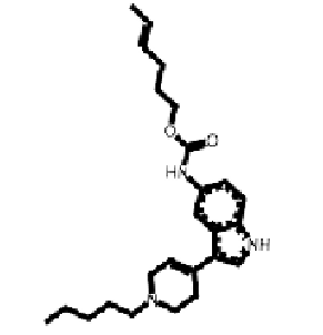 CC=CCCCOC(=O)Nc1ccc2[nH]cc(C3=CCN(CCCCC)CC3)c2c1